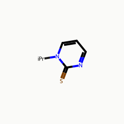 CC(C)n1cccnc1=S